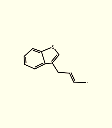 [CH2]C=CCc1csc2ccccc12